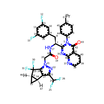 CC(C)c1ccc(-n2c([C@H](Cc3cc(F)cc(F)c3)NC(=O)Cn3nc(C(F)F)c4c3C(F)(F)[C@@H]3C[C@H]43)nc3ncccc3c2=O)cc1